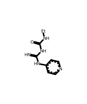 CCNC(=O)NC(=N)Nc1ccncc1